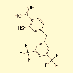 OB(O)c1ccc(Cc2cc(C(F)(F)F)cc(C(F)(F)F)c2)cc1S